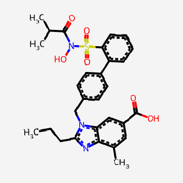 CCCc1nc2c(C)cc(C(=O)O)cc2n1Cc1ccc(-c2ccccc2S(=O)(=O)N(O)C(=O)C(C)C)cc1